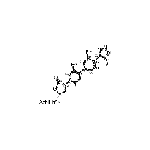 CC(=O)NC[C@H]1CN(c2ccc(-c3ccc(-c4nnnn4C)c(F)c3)c(F)c2)C(=O)O1